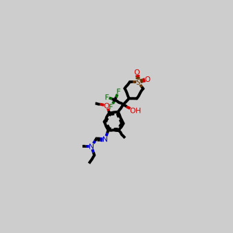 CCN(C)C=Nc1cc(OC)c(C(O)(C2CCS(=O)(=O)CC2)C(F)(F)F)cc1C